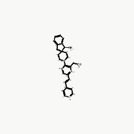 N[C@@H]1c2ccccc2CC12CCN(c1ncc(C=Cc3ccncc3)nc1CO)CC2